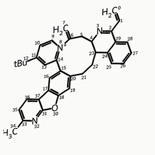 C=CC1=NC2CC(=C)[n+]3ccc(C(C)(C)C)cc3-c3cc4c(cc3CCC2c2ccccc21)oc1nc(C)ccc14